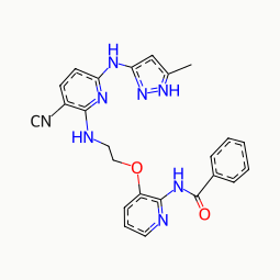 [C-]#[N+]c1ccc(Nc2cc(C)[nH]n2)nc1NCCOc1cccnc1NC(=O)c1ccccc1